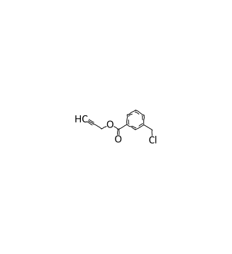 C#CCOC(=O)c1cccc(CCl)c1